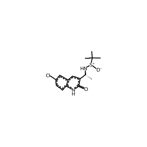 C[C@@H](N[S+]([O-])C(C)(C)C)c1cc2cc(Cl)ccc2[nH]c1=O